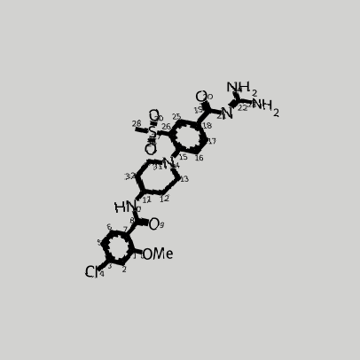 COc1cc(Cl)ccc1C(=O)NC1CCN(c2ccc(C(=O)N=C(N)N)cc2S(C)(=O)=O)CC1